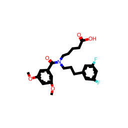 COc1cc(OC)cc(C(=O)N(CCCCC(=O)O)CCCc2cc(F)cc(F)c2)c1